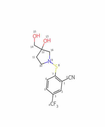 N#Cc1cc(C(F)(F)F)ccc1SN1CCC(O)(CO)C1